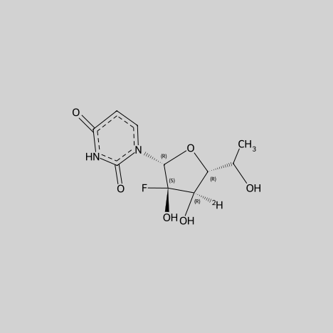 [2H][C@@]1(O)[C@@H](C(C)O)O[C@@H](n2ccc(=O)[nH]c2=O)[C@@]1(O)F